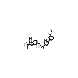 C=C(NCc1ccc2[nH]c(C(F)(F)F)cc2c1)c1ccc(-c2cccc(OCC)c2)nc1